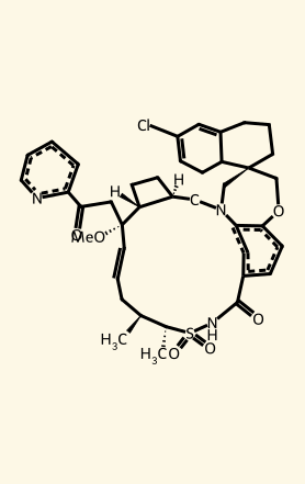 CO[C@@]1(CC(=O)c2ccccn2)/C=C/C[C@H](C)[C@@H](C)S(=O)(=O)NC(=O)c2ccc3c(c2)N(C[C@@H]2CC[C@H]21)C[C@@]1(CCCC2=CC(Cl)=CCC21)CO3